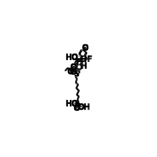 CCC(=O)O[C@]1(C(=O)SCCCCCCCCCCP(=O)(O)O)[C@H](C)C[C@H]2[C@@H]3C[C@H](F)C4=CC(=O)C=C[C@]4(C)[C@@]3(F)[C@@H](O)C[C@@]21C